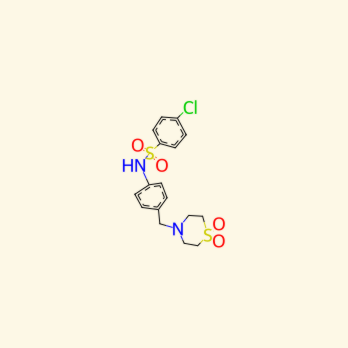 O=S1(=O)CCN(Cc2ccc(NS(=O)(=O)c3ccc(Cl)cc3)cc2)CC1